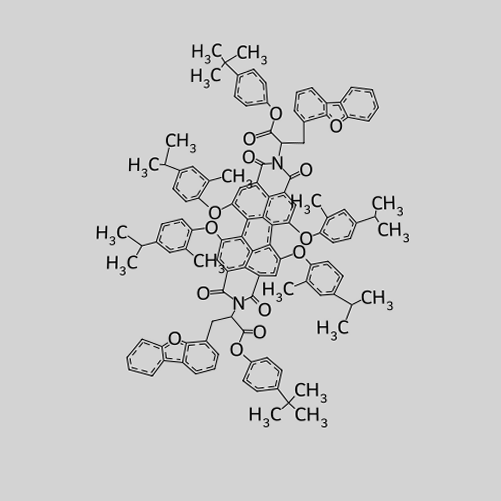 Cc1cc(C(C)C)ccc1Oc1cc2c3c(cc(Oc4ccc(C(C)C)cc4C)c4c5c(Oc6ccc(C(C)C)cc6C)cc6c7c(cc(Oc8ccc(C(C)C)cc8C)c(c1c34)c75)C(=O)N(C(Cc1cccc3c1oc1ccccc13)C(=O)Oc1ccc(C(C)(C)C)cc1)C6=O)C(=O)N(C(Cc1cccc3c1oc1ccccc13)C(=O)Oc1ccc(C(C)(C)C)cc1)C2=O